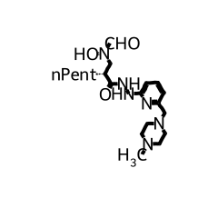 CCCCC[C@H](CN(O)C=O)C(=O)NNc1cccc(CN2CCN(C)CC2)n1